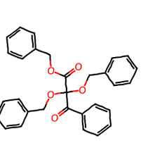 O=C(OCc1ccccc1)C(OCc1ccccc1)(OCc1ccccc1)C(=O)c1ccccc1